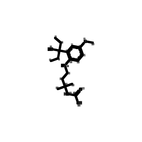 CCC(O)(CC)c1cc(OC)ccc1NCCC(C)(C)NC(=O)O